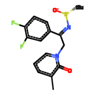 Cc1cccn(C/C(=N/[S@+]([O-])C(C)(C)C)c2ccc(F)c(F)c2)c1=O